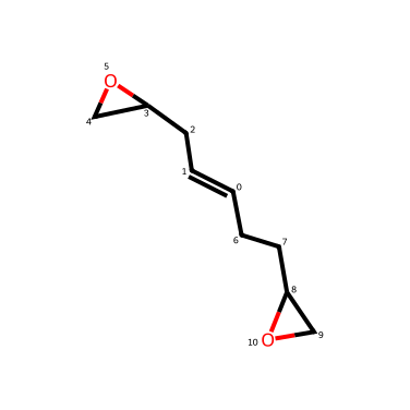 C(=CCC1CO1)CCC1CO1